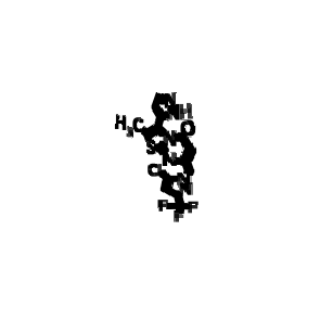 Cc1sc2nc(Cn3nc(C(F)(F)F)cc3Cl)cc(=O)n2c1-c1ccn[nH]1